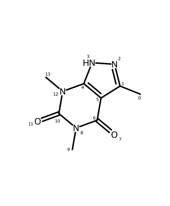 Cc1n[nH]c2c1c(=O)n(C)c(=O)n2C